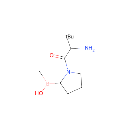 CB(O)C1CCCN1C(=O)C(N)C(C)(C)C